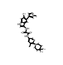 Cc1cc(NC(=O)C(=O)Nc2c[nH]c3cc(F)c(-c4cnn(C)c4)cc23)cnc1N1CCC(F)(F)CC1